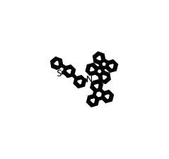 c1cc(-c2ccc3c(c2)sc2ccccc23)cc(N(c2ccc3c4ccccc4c4ccccc4c3c2)c2cccc3c2-c2ccccc2C32c3ccccc3-c3ccccc32)c1